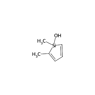 CC1=CC=C[Si]1(C)O